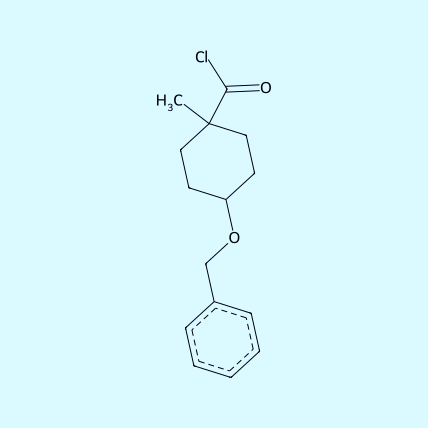 CC1(C(=O)Cl)CCC(OCc2ccccc2)CC1